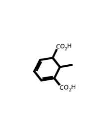 CC1C(C(=O)O)=CC=CC1C(=O)O